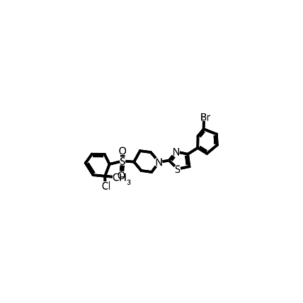 CC1(Cl)C=CC=CC1S(=O)(=O)C1CCN(c2nc(-c3cccc(Br)c3)cs2)CC1